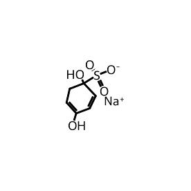 O=S(=O)([O-])C1(O)C=CC(O)=CC1.[Na+]